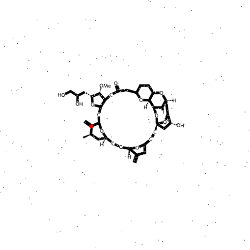 C=C1CC2CC[C@]34C[C@@H](O)C(O3)[C@@H]3OC5CCC(CC(=O)CC6C(C[C@H]7O[C@@H](CC[C@@H]1O2)C[C@@H](C)C7=C)O[C@H](CC(O)CO)[C@@H]6OC)O[C@@H]5C(O4)C3I